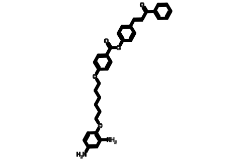 Nc1ccc(OCCCCCCOc2ccc(C(=O)Oc3ccc(C=CC(=O)c4ccccc4)cc3)cc2)c(N)c1